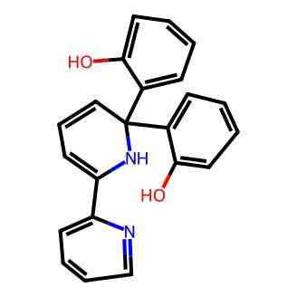 Oc1ccccc1C1(c2ccccc2O)C=CC=C(c2ccccn2)N1